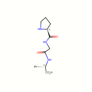 CC(C)[C@H](NC(=O)CNC(=O)[C@@H]1CCCN1)C(=O)O